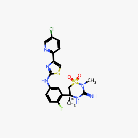 CN1C(=N)N[C@](C)(c2cc(Nc3nc(-c4ccc(Cl)cn4)cs3)ccc2F)CS1(=O)=O